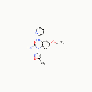 CCOc1ccc(N(C(N)=O)c2cc(C)on2)c(Nc2ccccn2)c1